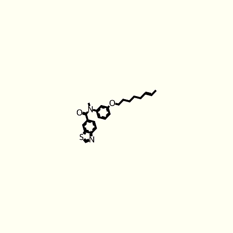 CC=CCCCCCOc1cccc(N(C)C(=O)c2ccc3ncsc3c2)c1